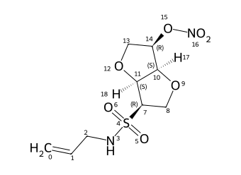 C=CCNS(=O)(=O)[C@@H]1CO[C@H]2[C@@H]1OC[C@H]2O[N+](=O)[O-]